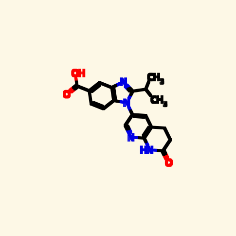 CC(C)c1nc2cc(C(=O)O)ccc2n1-c1cnc2c(c1)CCC(=O)N2